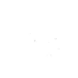 COc1cc(NC(=O)N2CC(C)OC(C)C2)cc(OC)c1OC